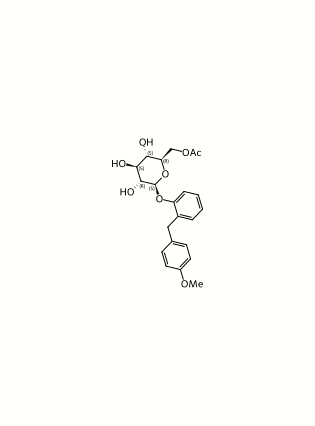 COc1ccc(Cc2ccccc2O[C@@H]2O[C@H](COC(C)=O)[C@@H](O)[C@H](O)[C@H]2O)cc1